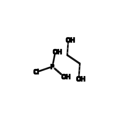 OCCO.OP(O)Cl